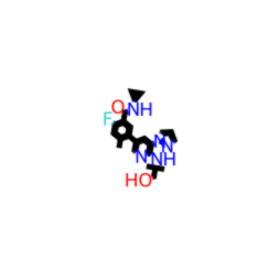 Cc1cc(F)c(C(=O)NC2CC2)cc1-c1cnc(NC(C)(C)CO)c(-n2cccn2)c1